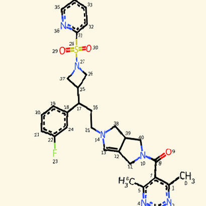 Cc1ncnc(C)c1C(=O)N1CC2=CN(CCC(c3cccc(F)c3)C3CN(S(=O)(=O)c4ccccn4)C3)CC2C1